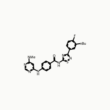 CCCCc1cc(-c2nsc(NC(=O)c3ccc(Nc4cc(NC)ncn4)cc3)n2)ccc1F